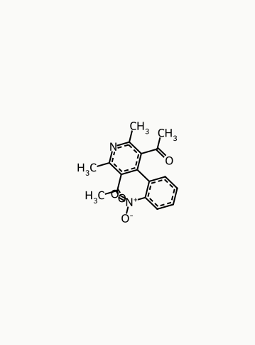 CC(=O)c1c(C)nc(C)c(C(C)=O)c1-c1ccccc1[N+](=O)[O-]